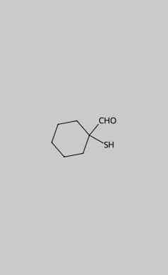 O=CC1(S)CCCCC1